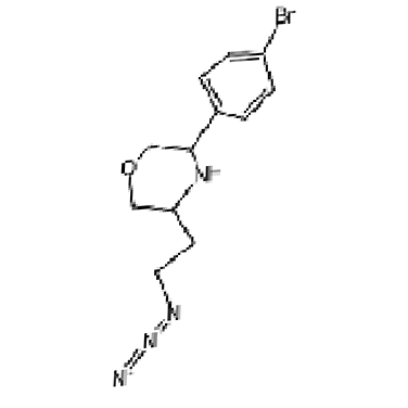 [N-]=[N+]=NCCC1COCC(c2ccc(Br)cc2)N1